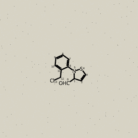 O=CC1C=CSN1c1ccccc1CCl